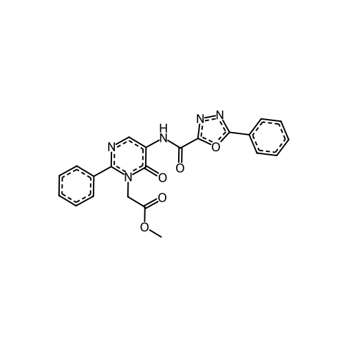 COC(=O)Cn1c(-c2ccccc2)ncc(NC(=O)c2nnc(-c3ccccc3)o2)c1=O